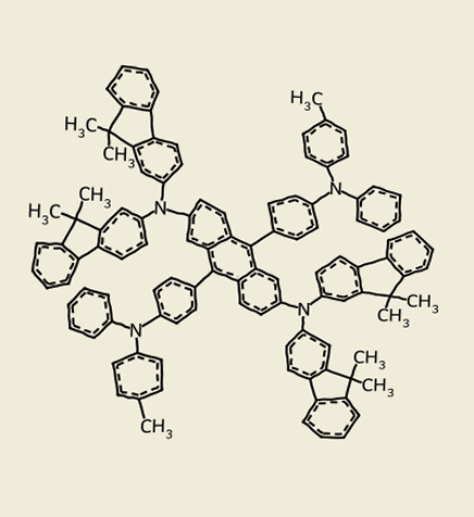 Cc1ccc(N(c2ccccc2)c2ccc(-c3c4ccc(N(c5ccc6c(c5)C(C)(C)c5ccccc5-6)c5ccc6c(c5)C(C)(C)c5ccccc5-6)cc4c(-c4ccc(N(c5ccccc5)c5ccc(C)cc5)cc4)c4ccc(N(c5ccc6c(c5)C(C)(C)c5ccccc5-6)c5ccc6c(c5)C(C)(C)c5ccccc5-6)cc34)cc2)cc1